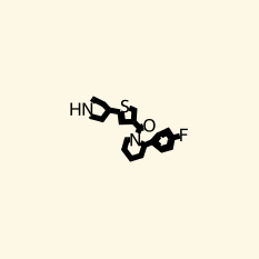 O=C(C1C=C(C2CCNCC2)SC1)N1CCCCC1c1ccc(F)cc1